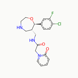 O=C(Cn1ccccc1=O)NC[C@@H]1CNCCO[C@H]1c1ccc(Cl)c(F)c1